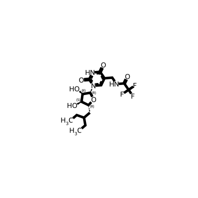 CCC(CC)C[C@H]1O[C@@H](n2cc(CNC(=O)C(F)(F)F)c(=O)[nH]c2=O)[C@H](O)[C@@H]1O